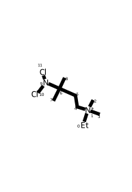 CC[N+](C)(C)CCC(C)(C)N(Cl)Cl